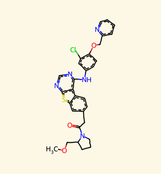 COCC1CCCN1C(=O)Cc1ccc2c(c1)sc1ncnc(Nc3ccc(OCc4ccccn4)c(Cl)c3)c12